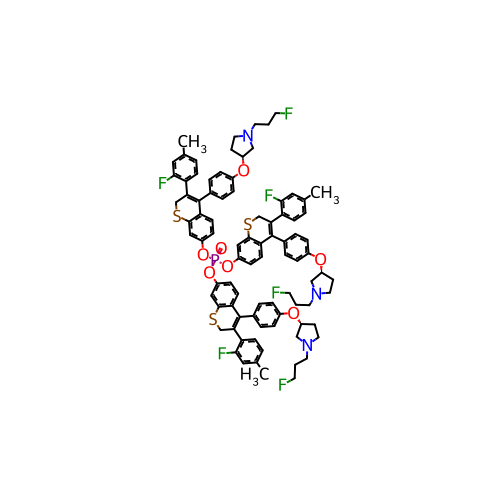 Cc1ccc(C2=C(c3ccc(O[C@H]4CCN(CCCF)C4)cc3)c3ccc(OP(=O)(Oc4ccc5c(c4)SCC(c4ccc(C)cc4F)=C5c4ccc(O[C@H]5CCN(CCCF)C5)cc4)Oc4ccc5c(c4)SCC(c4ccc(C)cc4F)=C5c4ccc(O[C@H]5CCN(CCCF)C5)cc4)cc3SC2)c(F)c1